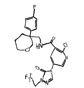 O=C(NCC1(c2ccc(F)cc2)CCCOC1)c1cc(-n2cnn(CC(F)(F)F)c2=O)cnc1Cl